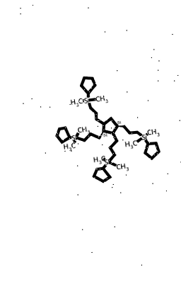 C[Si](C)(CCCC1C[C@@H](CCC[Si](C)(C)C2CCCC2)C(CCC[Si](C)(C)C2CCCC2)[C@H]1CCC[Si](C)(C)C1CCCC1)C1CCCC1